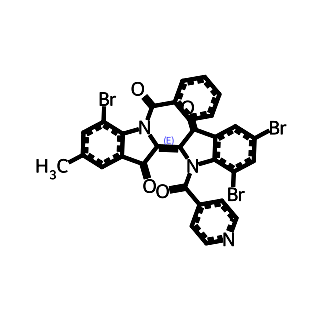 Cc1cc(Br)c2c(c1)C(=O)/C(=C1/C(=O)c3cc(Br)cc(Br)c3N1C(=O)c1ccncc1)N2C(=O)c1ccccc1